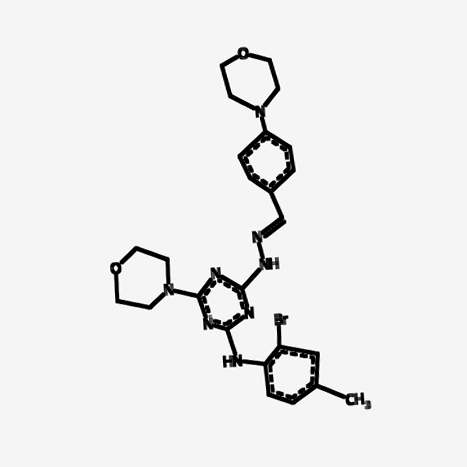 Cc1ccc(Nc2nc(N/N=C/c3ccc(N4CCOCC4)cc3)nc(N3CCOCC3)n2)c(Br)c1